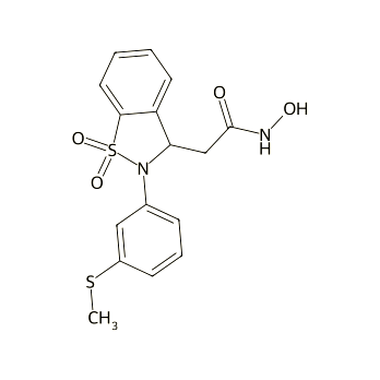 CSc1cccc(N2C(CC(=O)NO)c3ccccc3S2(=O)=O)c1